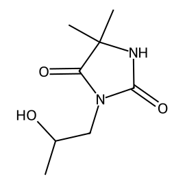 CC(O)CN1C(=O)NC(C)(C)C1=O